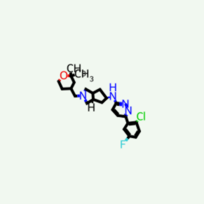 CC1(C)CC(CN2CC3C[C@@H](Nc4ccc(-c5cc(F)ccc5Cl)nn4)C[C@@H]3C2)CCO1